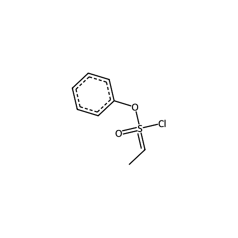 CC=S(=O)(Cl)Oc1ccccc1